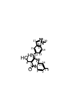 Cc1ccn2c(=O)c(CO)c(Nc3ccc4c(cnn4C)c3)nc2c1